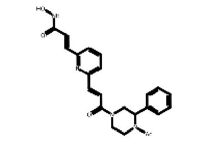 CC(=O)N1CCN(C(=O)C=Cc2cccc(C=CC(=O)NO)n2)CC1c1ccccc1